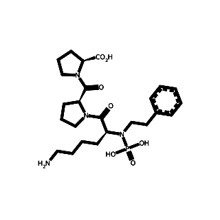 NCCCC[C@@H](C(=O)N1CCC[C@H]1C(=O)N1CCC[C@H]1C(=O)O)N(CCc1ccccc1)P(=O)(O)O